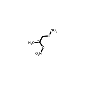 [CH2][C@@H](CO[N+](=O)[O-])O[N+](=O)[O-]